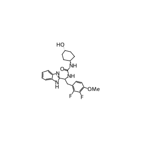 COc1ccc(CC(NC(=O)N[C@H]2CC[C@H](O)CC2)c2nc3ccccc3[nH]2)c(F)c1F